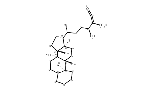 C[C@H](CCC(O)C(=C=O)C(=O)O)[C@H]1CC[C@H]2[C@@H]3CCC4CCCC[C@]4(C)[C@H]3CC[C@]12C